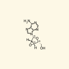 Nc1ncnc2c1ncn2[C@@H]1O[C@H](CO)[C@@H]2O[C@@H]21